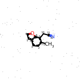 Cc1ccc2ccoc2c1CC#N